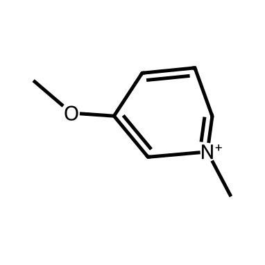 COc1ccc[n+](C)c1